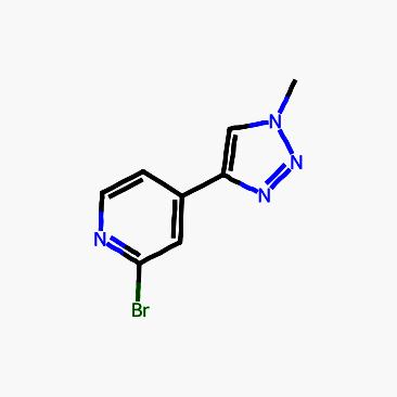 Cn1cc(-c2ccnc(Br)c2)nn1